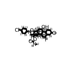 CN(C)C(=O)OCC(=O)[C@@]12ON(c3ccc(Cl)cc3)C[C@@H]1C[C@H]1[C@@H]3C[C@H](F)C4=CC(=O)C=C[C@]4(C)[C@@]3(F)[C@@H](O)C[C@@]12C